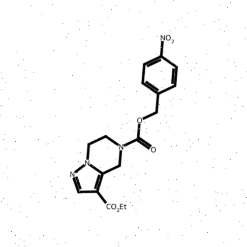 CCOC(=O)c1cnn2c1CN(C(=O)OCc1ccc([N+](=O)[O-])cc1)CC2